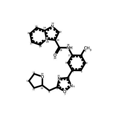 Cc1ccc(-c2noc(CC3CCCO3)n2)cc1NC(=O)c1cnc2ccccn12